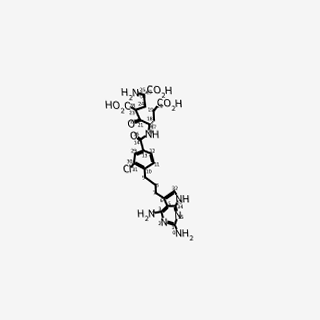 Nc1nc(N)c2c(CCCc3ccc(C(=O)N[C@@H](CCC(=O)O)C(=O)C(C[C@H](N)C(=O)O)C(=O)O)cc3Cl)c[nH]c2n1